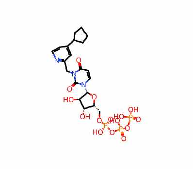 O=c1ccn([C@@H]2O[C@H](COP(=O)(O)OP(=O)(O)OP(=O)(O)O)[C@H](O)C2O)c(=O)n1Cc1cc(C2CCCC2)ccn1